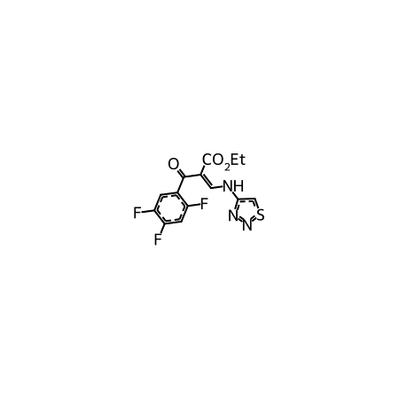 CCOC(=O)C(=CNc1csnn1)C(=O)c1cc(F)c(F)cc1F